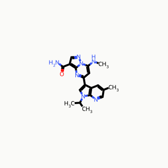 CNc1cc(-c2cn(C(C)C)c3ncc(C)cc23)nc2c(C(N)=O)cnn12